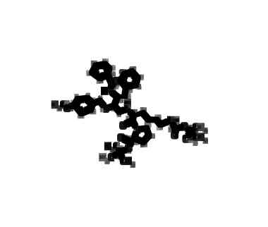 COc1ccc(CSC(CN[C@@H](CCCCNC(=O)OC(C)(C)C)C(=O)N2CCC[C@H]2C(=O)OC(C)(C)C)[C@H](Cc2ccccc2)NC(=O)c2ccccc2)cc1